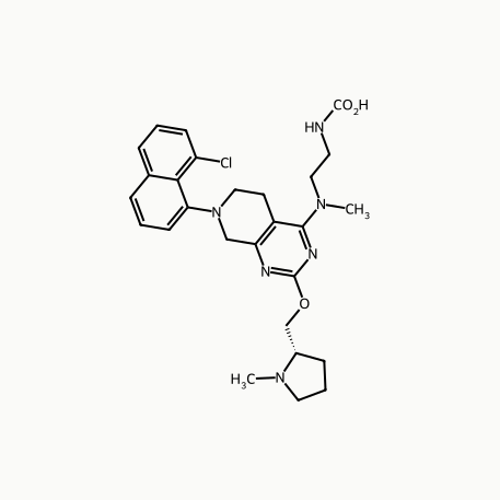 CN(CCNC(=O)O)c1nc(OC[C@@H]2CCCN2C)nc2c1CCN(c1cccc3cccc(Cl)c13)C2